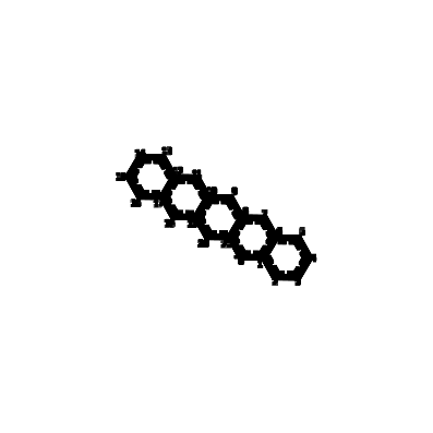 [c]1c2ccccc2cc2cc3cc4ccccc4cc3cc12